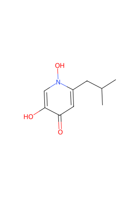 CC(C)Cc1cc(=O)c(O)cn1O